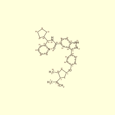 C=C(C)C1CC(Oc2ccc(-c3n[nH]c4ccc(C(=O)NC(c5ccccn5)C5CCCC5)cc34)cc2)CC1C